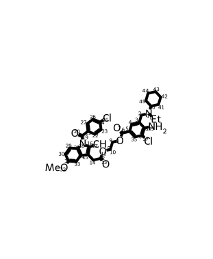 CCN(Cc1cc(C(=O)OCCOC(=O)Cc2c(C)n(C(=O)c3ccc(Cl)cc3)c3ccc(OC)cc23)cc(Cl)c1N)C1CCCCC1